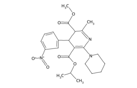 COC(=O)C1C(C)=NC(N2CCCCC2)=C(C(=O)OC(C)C)C1c1cccc([N+](=O)[O-])c1